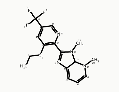 CCSc1cc(C(F)(F)F)cnc1C1=NC2=CC=CN(C)C2N1C